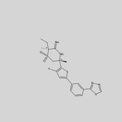 CC[C@@]1(C)C(=N)N[C@](C)(c2sc(-c3cccc(-c4nnco4)c3)cc2F)CS1(=O)=O